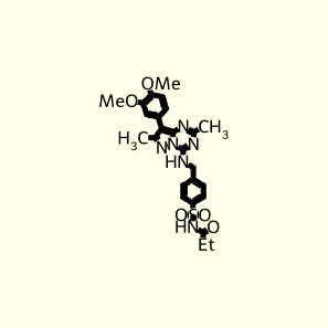 CCC(=O)NS(=O)(=O)c1ccc(CNc2nc(C)nc3c(-c4ccc(OC)c(OC)c4)c(C)nn23)cc1